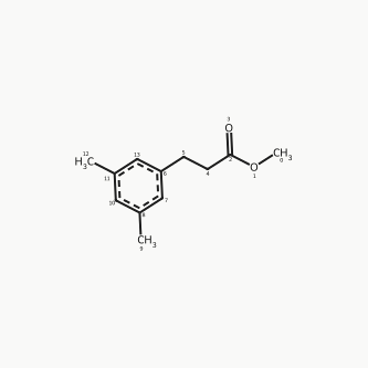 COC(=O)CCc1cc(C)cc(C)c1